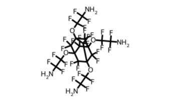 NC(F)(F)C(F)(F)OC12C(F)(F)C3(OC(F)(F)C(N)(F)F)C(F)(F)C(OC(F)(F)C(N)(F)F)(C1(F)F)C(F)(F)C(OC(F)(F)C(N)(F)F)(C2(F)F)C3(F)F